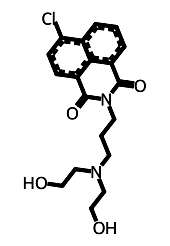 O=C1c2cccc3c(Cl)ccc(c23)C(=O)N1CCCN(CCO)CCO